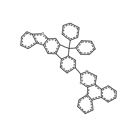 c1ccc(C2(c3ccccc3)c3cc(-c4ncc5c6ccccc6c6ccccc6c5n4)ccc3-c3cc4c(cc32)oc2ccccc24)cc1